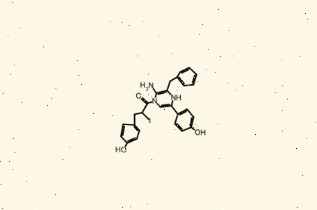 NC1=C(Cc2ccccc2)NC(c2ccc(O)cc2)=CN1C(=O)C(I)Cc1ccc(O)cc1